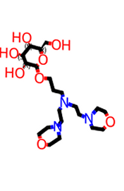 OC[C@H]1OC(OCCCN(CCN2CCOCC2)CCN2CCOCC2)[C@H](O)[C@@H](O)[C@@H]1O